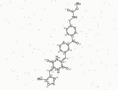 CC(C)(C)OC(=O)NCc1ccc(C(=O)c2cccc(/C=c3\[nH]c(=O)/c(=C/c4ncoc4C(C)(C)C)[nH]c3=O)c2)cc1